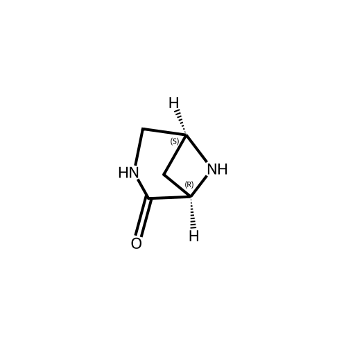 O=C1NC[C@@H]2C[C@H]1N2